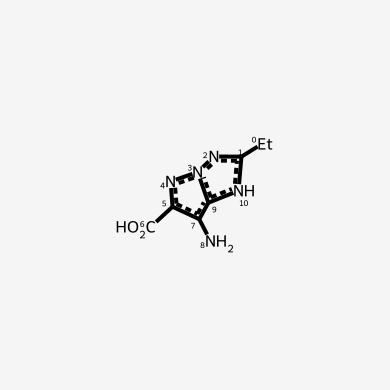 CCc1nn2nc(C(=O)O)c(N)c2[nH]1